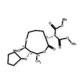 CO[C@H]1CCCC[C@H](N(C(=O)OC(C)(C)C)C(=O)OC(C)(C)C)C(=O)O[C@@H](C)[C@@H]1OC1CCCC1